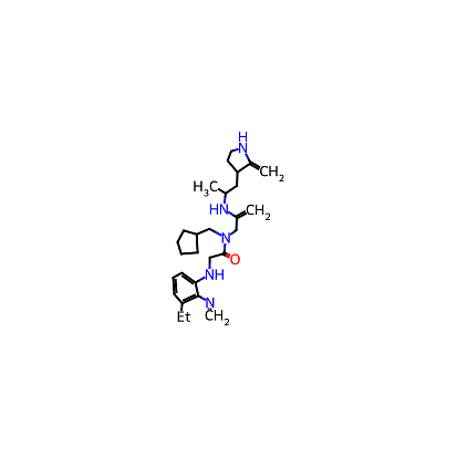 C=Nc1c(CC)cccc1NCC(=O)N(CC(=C)NC(C)CC1CCNC1=C)CC1CCCC1